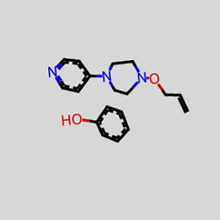 C=CCON1CCN(c2ccncc2)CC1.Oc1ccccc1